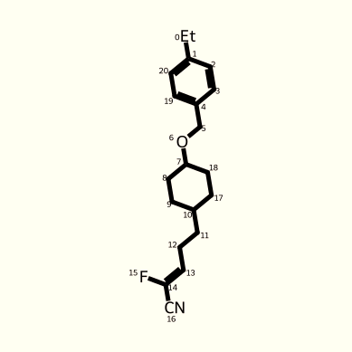 CCc1ccc(COC2CCC(CCC=C(F)C#N)CC2)cc1